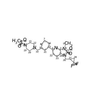 CN1c2nc(-c3cccc(CN4CCN(S(C)(=O)=O)CC4)c3)ccc2N(CC2CC2(F)F)S1(=O)=O